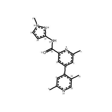 Cc1cc(-c2cc(C)nc(C(=O)Nc3ccn(C)n3)c2)c(C)cn1